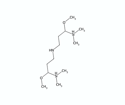 COC(CCNCCC(OC)[SiH](C)C)[SiH](C)C